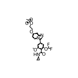 COc1cc(-c2cnc3cc(OCCOS(C)(=O)=O)ccn23)cc(OC(F)F)c1C(=O)NC1CC1